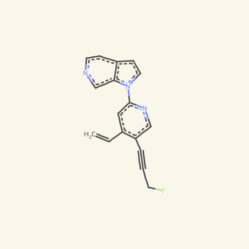 C=Cc1cc(-n2ccc3ccncc32)ncc1C#CCF